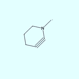 [CH2]N1C#CCCC1